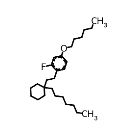 CCCCCCCC1(CCc2ccc(OCCCCCC)cc2F)CCCCC1